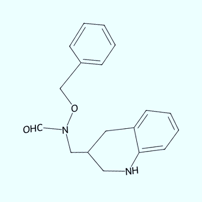 O=CN(CC1CNc2ccccc2C1)OCc1ccccc1